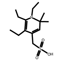 CCC1=C(CC)N(CC)C(C)(C)C=C1CS(=O)(=O)O